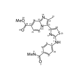 CNC(=O)c1ccc(Nc2nc(-c3c(C)nc4cc(C(=O)OC)ccn34)cs2)cc1